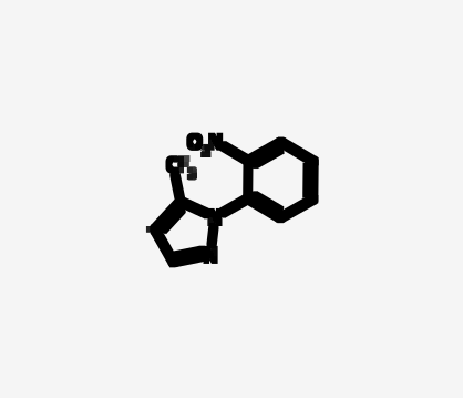 O=[N+]([O-])c1ccccc1-n1nc[c]c1C(F)(F)F